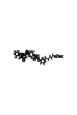 CCCCCCCCCCCCCCCc1cccc(OCC(=O)Nc2ccc(N(C(C)=O)c3cc(=O)n(Cc4ccccc4)[nH]3)cc2)c1